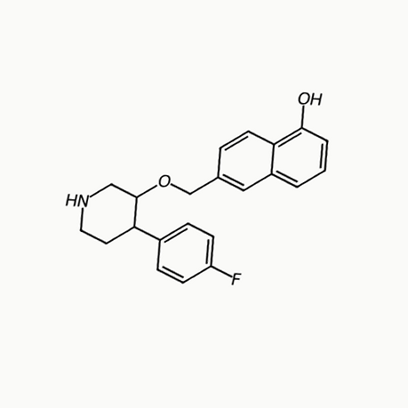 Oc1cccc2cc(COC3CNCCC3c3ccc(F)cc3)ccc12